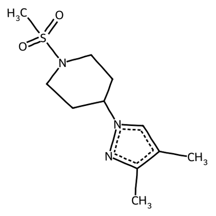 Cc1cn(C2CCN(S(C)(=O)=O)CC2)nc1C